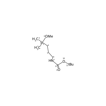 CO[Si](C)(C)CCCNC(=O)OC(C)(C)C